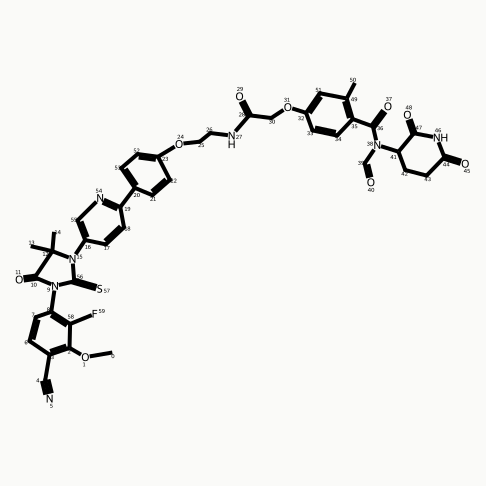 COc1c(C#N)ccc(N2C(=O)C(C)(C)N(c3ccc(-c4ccc(OCCNC(=O)COc5ccc(C(=O)N(C=O)C6CCC(=O)NC6=O)c(C)c5)cc4)nc3)C2=S)c1F